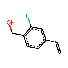 C=Cc1ccc(CO)c(F)c1